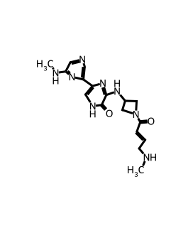 CNC/C=C/C(=O)N1CC(Nc2nc(-c3cncc(NC)n3)c[nH]c2=O)C1